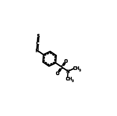 CN(C)S(=O)(=O)c1ccc(N=C=S)cc1